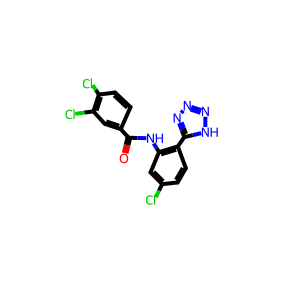 O=C(Nc1cc(Cl)ccc1-c1nnn[nH]1)c1ccc(Cl)c(Cl)c1